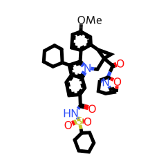 COc1ccc2c(c1)C1CC1(C(=O)N1C=C3CCC1CO3)Cn1c-2c(C2CCCCC2)c2ccc(C(=O)NS(=O)(=O)C3CCCCC3)cc21